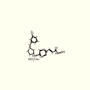 CC(=O)O.O=C(C=Cc1cnc(N[C@@H]2CCN(Cc3cccc(Cl)c3)C2)cn1)NO